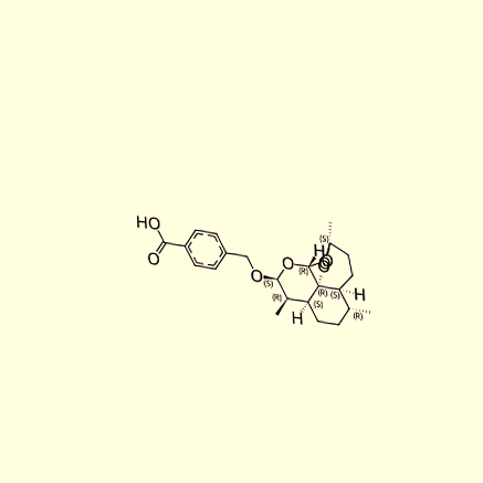 C[C@H]1[C@@H](OCc2ccc(C(=O)O)cc2)O[C@@H]2O[C@]3(C)CC[C@H]4[C@H](C)CC[C@@H]1[C@@]24OO3